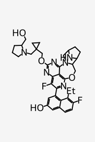 CCc1c(F)ccc2cc(O)cc(-c3nc4c5c(nc(OCC6(CN7CCCC7CO)CC6)nc5c3F)N3CC5CCC(N5)C3CO4)c12